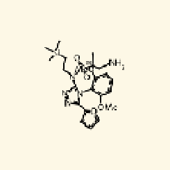 COc1cccc(OC)c1-n1c(-c2ccco2)nnc1N(CC[Si](C)(C)C)S(=O)(=O)[C@@H](C)CN